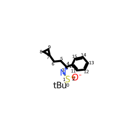 CC(C)(C)[S+]([O-])/N=C(/CCC1CC1)c1ccccc1